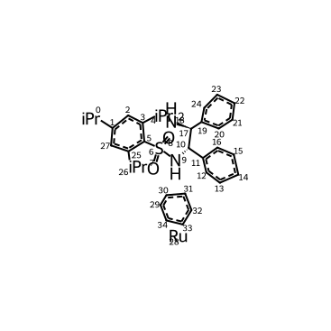 CC(C)c1cc(C(C)C)c(S(=O)(=O)N[C@@H](c2ccccc2)[C@@H](N)c2ccccc2)c(C(C)C)c1.[Ru].c1ccccc1